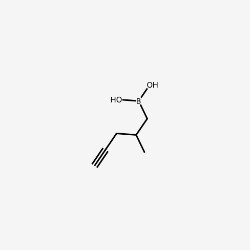 C#CCC(C)CB(O)O